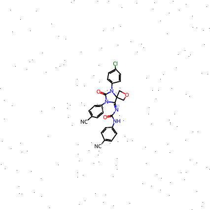 N#Cc1ccc(NC(=O)/N=C2\N(c3ccc(C#N)cc3)C(=O)N(c3ccc(Cl)cc3)C23COC3)cc1